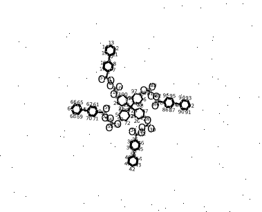 O=C(OOC(=O)c1ccc(-c2ccccc2)cc1)OC1CCC(C(C2CCC(OC(=O)OOC(=O)c3ccc(-c4ccccc4)cc3)CC2)(C2CCC(OC(=O)OOC(=O)c3ccc(-c4ccccc4)cc3)CC2)C2CCC(OC(=O)OOC(=O)c3ccc(-c4ccccc4)cc3)CC2)CC1